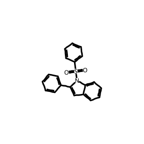 O=S(=O)(c1ccccc1)n1c(-c2ccccc2)cc2ccccc21